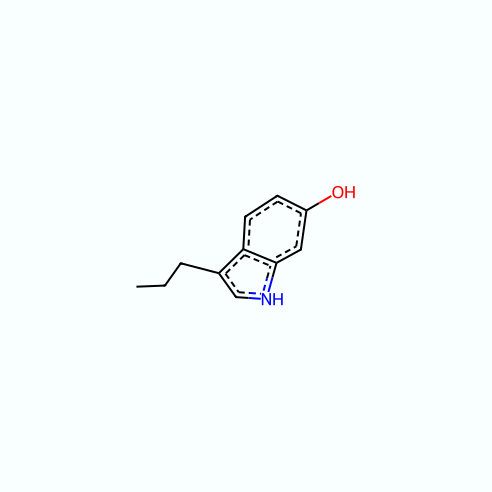 CCCc1c[nH]c2cc(O)ccc12